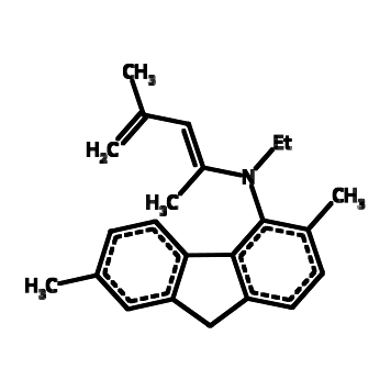 C=C(C)/C=C(\C)N(CC)c1c(C)ccc2c1-c1ccc(C)cc1C2